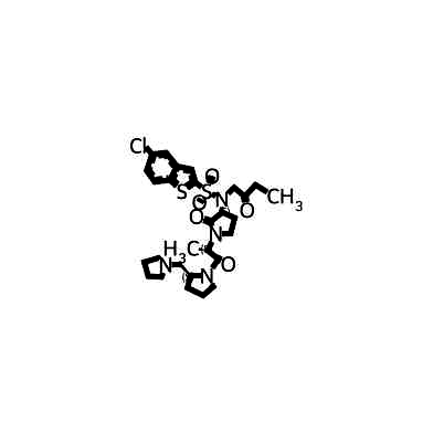 CCC(=O)CN([C@H]1CCN([C@@H](C)C(=O)N2CCC[C@H]2CN2CCCC2)C1=O)S(=O)(=O)c1cc2cc(Cl)ccc2s1